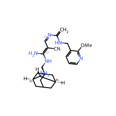 C=C(/N=C\C(C#N)=C(/N)NC[C@]12CC3C[C@H](C1)[C@@H](N)[C@@H](C3)C2)NCc1cccnc1OC